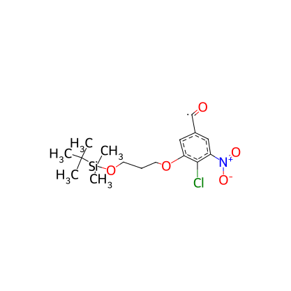 CC(C)(C)[Si](C)(C)OCCCOc1cc([C]=O)cc([N+](=O)[O-])c1Cl